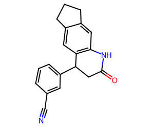 N#Cc1cccc(C2CC(=O)Nc3cc4c(cc32)CCC4)c1